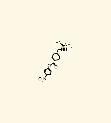 N=C(N)NC[C@H]1CC[C@H](C(=O)Oc2ccc([N+](=O)[O-])cc2)CC1